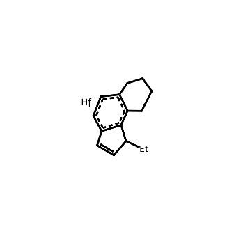 CCC1C=Cc2ccc3c(c21)CCCC3.[Hf]